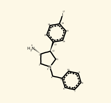 N[C@H]1CN(Cc2ccccc2)C[C@@H]1c1ccc(I)cc1